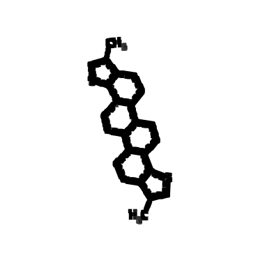 Cc1csc2c1ccc1c3ccc4c(ccc5c(C)csc54)c3ccc12